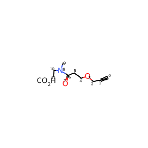 C#CCOCCC(=O)N(C)CC(=O)O